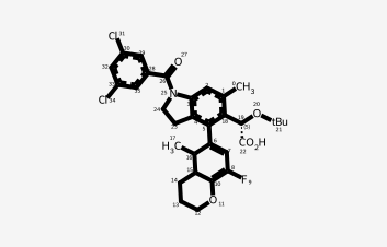 Cc1cc2c(c(C3=CC(F)=C4OCCCC4C3C)c1[C@H](OC(C)(C)C)C(=O)O)CCN2C(=O)c1cc(Cl)cc(Cl)c1